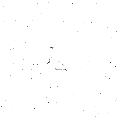 CC(C)[C@H](NC(=O)OC(C)(C)C)C(=O)N1C[C@@H]2[C@H](C1)C2(C)C